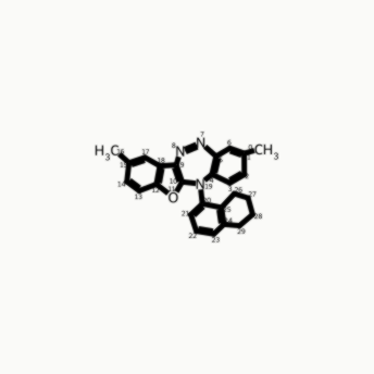 Cc1ccc2c(c1)N=Nc1c(oc3ccc(C)cc13)N2c1cccc2c1CCCC2